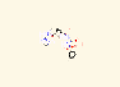 CCN(NC1=NCCCN1)C(=O)c1ccc(C(=O)NCC(NS(=O)(=O)c2ccccc2)C(=O)O)s1